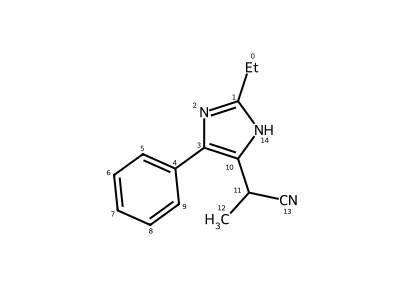 CCc1nc(-c2ccccc2)c(C(C)C#N)[nH]1